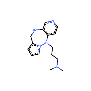 CN(C)CCCN1c2ccncc2NCc2cccn21